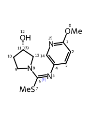 COc1ccc(/N=C(/SC)N2CC[C@H](O)C2)cn1